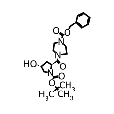 CC(C)(C)OC(=O)N1C[C@H](O)C[C@H]1C(=O)N1CCN(C(=O)OCc2ccccc2)CC1